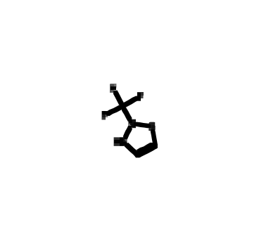 FC(F)(F)N1NC=CS1